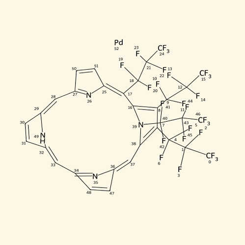 FC(F)(F)C(F)(F)C(F)(F)c1c(C(F)(F)C(F)(F)C(F)(F)F)c2c(C(F)(F)C(F)(F)C(F)(F)F)c3nc(cc4ccc(cc5nc(cc1n2C(F)(F)C(F)(F)C(F)(F)F)C=C5)[nH]4)C=C3.[Pd]